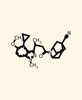 COc1ccc2c(c(C(C)CC(=O)N3C4CC5CC3CC(C#N)(C5)C4)nn2C)c1C1CC1